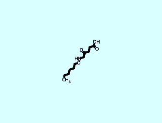 CCCCCCONCC(=O)CCC(=O)O